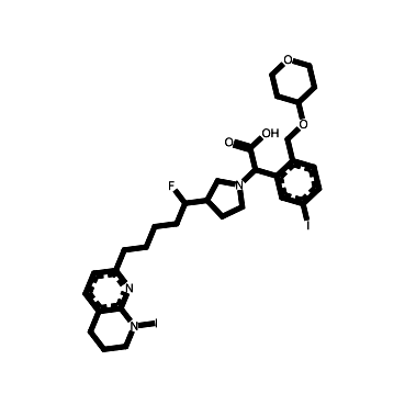 O=C(O)C(c1cc(I)ccc1COC1CCOCC1)N1CCC(C(F)CCCCc2ccc3c(n2)N(I)CCC3)C1